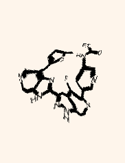 CCC(=O)Nc1cncc(-c2ncc3[nH]nc(-c4nc5c(-c6ccc(C)s6)cncc5[nH]4)c3c2F)c1